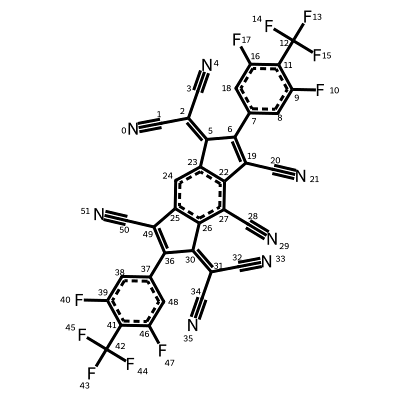 N#CC(C#N)=C1C(c2cc(F)c(C(F)(F)F)c(F)c2)=C(C#N)c2c1cc1c(c2C#N)C(=C(C#N)C#N)C(c2cc(F)c(C(F)(F)F)c(F)c2)=C1C#N